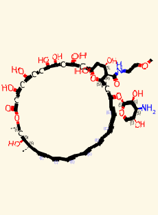 COCCNC(=O)[C@H]1[C@@H]2CC(O[C@@H]3OC[C@@H](O)[C@H](N)[C@@H]3O)/C=C/C=C/C=C/C=C/C=C/C=C/C=C/[C@H](C)[C@@H](O)C[C@H](C)OC(=O)CC(O)CC(O)CCC(O)C(O)CC(O)CC(O)(C[C@@H]1O)O2